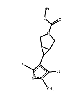 CCc1nn(C)c(CC)c1C1C2CN(C(=O)OC(C)(C)C)CC21